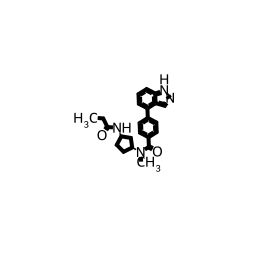 CCC(=O)N[C@H]1CC[C@@H](N(C)C(=O)c2ccc(-c3cccc4[nH]ncc34)cc2)C1